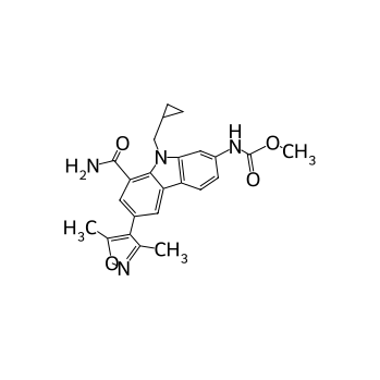 COC(=O)Nc1ccc2c3cc(-c4c(C)noc4C)cc(C(N)=O)c3n(CC3CC3)c2c1